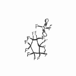 FC1(F)C(F)(F)C(F)(F)C(F)(F)C(F)(F)C1(F)F.O=S(=O)(F)F